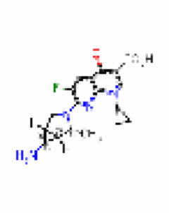 C[C@@H]1[C@@H]2[C@@H](N)[C@@H]2CN1c1nc2c(cc1F)c(=O)c(C(=O)O)cn2C1CC1